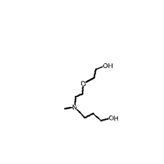 CN(CCCO)CCOCCO